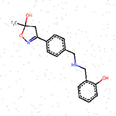 Oc1ccccc1CNCc1ccc(C2=NOC(O)(C(F)(F)F)C2)cc1